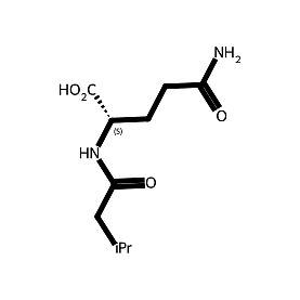 CC(C)CC(=O)N[C@@H](CCC(N)=O)C(=O)O